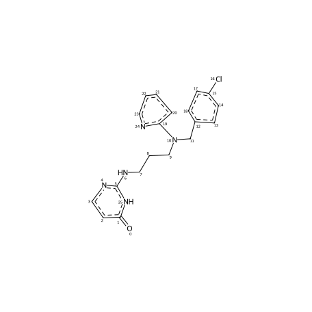 O=c1ccnc(NCCCN(Cc2ccc(Cl)cc2)c2ccccn2)[nH]1